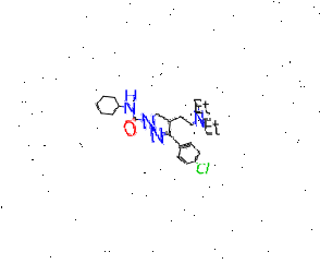 CCN(CC)CCC1CN(C(=O)NC2CCCCC2)N=C1c1ccc(Cl)cc1